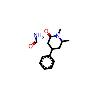 CC1CC(c2ccccc2)CC(=O)N1C.NC=O